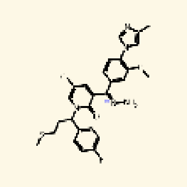 COc1cc(/C(=N\N)c2cc(Cl)cn(C(CCSC)c3ccc(F)cc3)c2=O)ccc1-n1cnc(C)c1